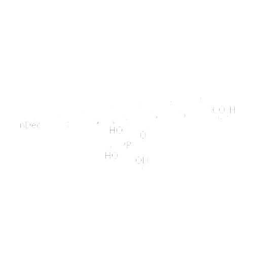 CCCCCCCCCCCCCCCCCCCCCC(=O)O.O=P(O)(O)O